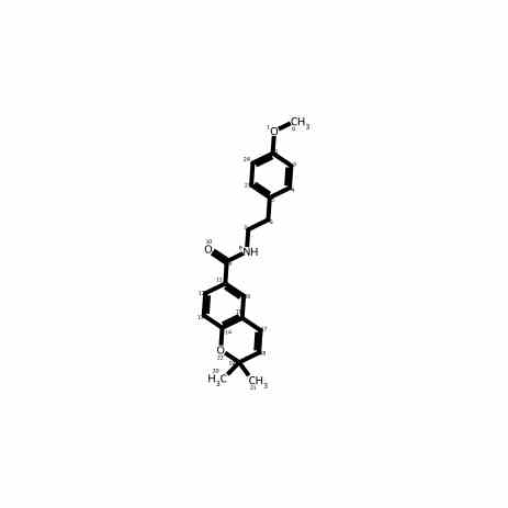 COc1ccc(CCNC(=O)c2ccc3c(c2)C=CC(C)(C)O3)cc1